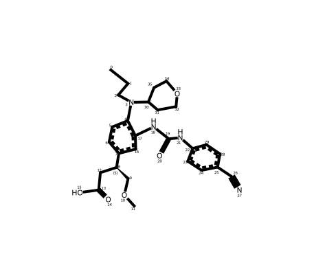 CCCN(c1ccc([C@@H](COC)CC(=O)O)cc1NC(=O)Nc1ccc(C#N)cc1)C1CCOCC1